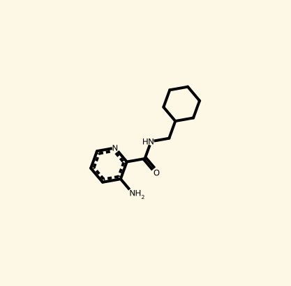 Nc1cccnc1C(=O)NCC1CCCCC1